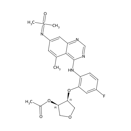 CC(=O)O[C@@H]1COC[C@@H]1Oc1cc(F)ccc1Nc1ncnc2cc(N=S(C)(C)=O)cc(C)c12